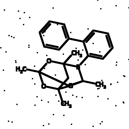 CC12CC3(C)OC(C)(CC(C)(O1)B3c1ccccc1-c1ccccc1)O2